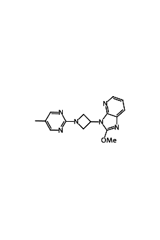 COc1nc2cccnc2n1C1CN(c2ncc(C)cn2)C1